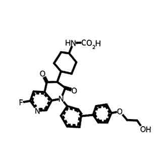 O=C(O)NC1CCC(C2C(=O)c3cc(F)ncc3N(c3cccc(-c4ccc(OCCO)cc4)c3)C2=O)CC1